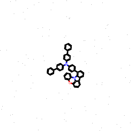 c1ccc(-c2ccc(N(c3ccc(-c4ccccc4)cc3)c3ccc(-c4cccc5c6cccc7c6n(c45)-c4ccccc4O7)cc3)cc2)cc1